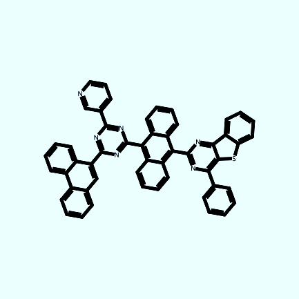 c1ccc(-c2nc(-c3c4ccccc4c(-c4nc(-c5cccnc5)nc(-c5cc6ccccc6c6ccccc56)n4)c4ccccc34)nc3c2sc2ccccc23)cc1